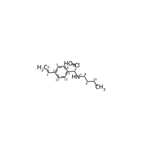 C=Cc1ccc(CNCCCC)cc1.OCl